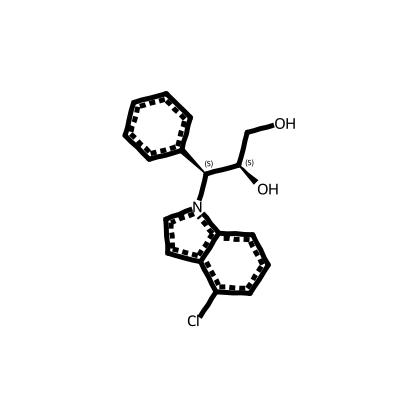 OC[C@@H](O)[C@H](c1ccccc1)n1ccc2c(Cl)cccc21